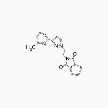 Cc1cccc(-c2ccn(CCN3C(=O)c4ccccc4C3=O)n2)n1